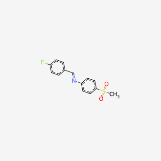 CS(=O)(=O)c1ccc(N=Cc2ccc(F)cc2)cc1